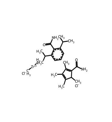 CC(C)c1cccc(C(C)C)c1C(N)=O.CC1=C(C)C(C)C(C(N)=O)=C1C.[CH3][Zr+2][CH3].[Cl-].[Cl-]